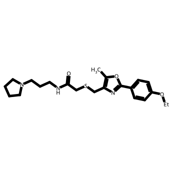 CCOc1ccc(-c2nc(CSCC(=O)NCCCN3CCCC3)c(C)o2)cc1